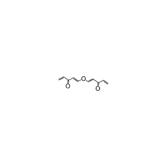 C=CC(=O)C=COC=CC(=O)C=C